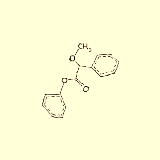 COC(C(=O)Oc1ccccc1)c1ccccc1